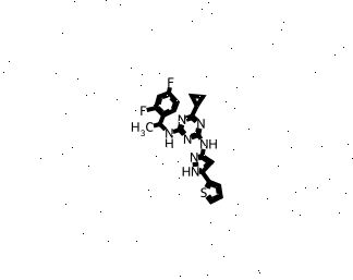 CC(Nc1nc(Nc2cc(-c3cccs3)[nH]n2)nc(C2CC2)n1)c1ccc(F)cc1F